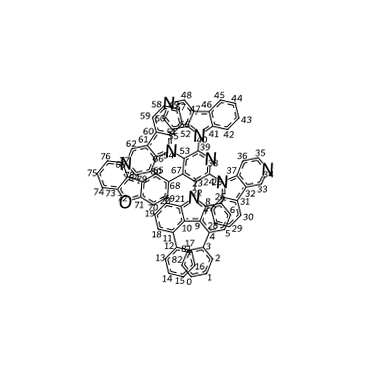 c1ccc(-c2cccc3c2c2c(-c4ccccc4)cccc2n3-c2c(-n3c4ccccc4c4cnccc43)nc(-n3c4ccccc4c4cnccc43)c(-n3c4ccccc4c4cnccc43)c2-c2ccc3oc4ccccc4c3c2)cc1